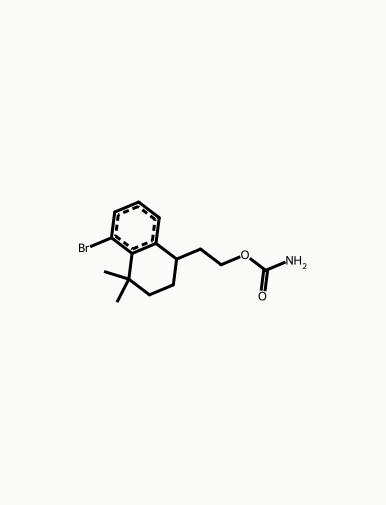 CC1(C)CCC(CCOC(N)=O)c2cccc(Br)c21